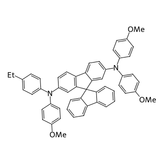 CCc1ccc(N(c2ccc(OC)cc2)c2ccc3c(c2)C2(c4ccccc4-c4ccccc42)c2cc(N(c4ccc(OC)cc4)c4ccc(OC)cc4)ccc2-3)cc1